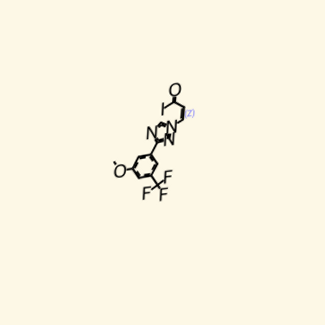 COc1cc(-c2ncn(/C=C\C(=O)I)n2)cc(C(F)(F)F)c1